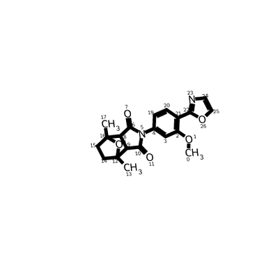 COc1cc(N2C(=O)C3C(C2=O)C2(C)CCC3(C)O2)ccc1-c1ncco1